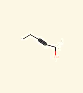 CCC#C[C@H](C)O